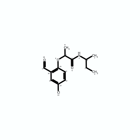 CCC(C)NC(=O)C(C)Oc1ccc(Cl)cc1C=O